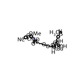 COc1cc(/C=C2\SC(=O)N(CCCCCOCCOCCC(=O)N[C@H](C(=O)N3CC(O)CC3C(=O)NCc3ccc(-c4scnc4C)cc3)C(C)(C)C)C2=O)ccc1Oc1ccc(C#N)cc1C(F)(F)F